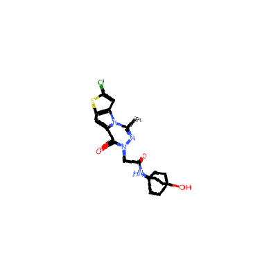 CC(C)c1nn(CC(=O)NC23CCC(O)(CC2)CC3)c(=O)c2cc3sc(Cl)cc3n12